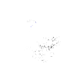 CCCC/C=C\C/C=C\CCCCCCCCC1OCC(COC(=O)O[C@@H](C(=O)O[C@H]2C[C@@]3(O)[C@@H](OC(=O)c4ccccc4)[C@@H]4[C@]5(O)CO[C@@H]5C[C@H](O)[C@@]4(C)C(=O)[C@H](O)C(=C2C)C3(C)C)[C@@H](NC(=O)OC(C)(C)C)c2ccccc2)O1